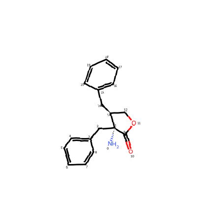 N[C@@]1(Cc2ccccc2)C(=O)OC[C@@H]1Cc1ccccc1